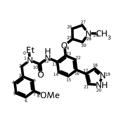 CCN(Cc1cccc(OC)c1)C(=O)Nc1ccc(-c2cn[nH]c2)cc1OC1CCN(C)C1